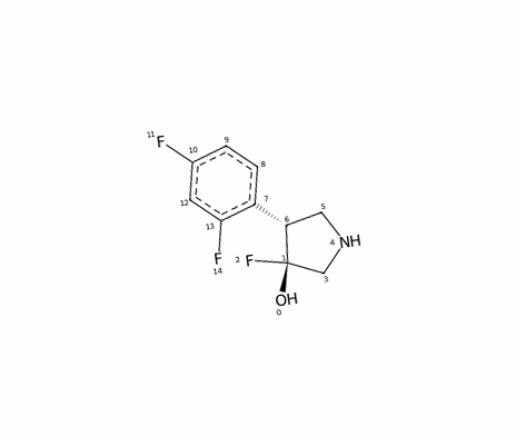 O[C@]1(F)CNC[C@H]1c1ccc(F)cc1F